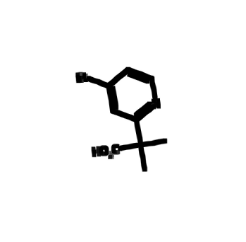 [CH2]Cc1ccnc(C(C)(C)C(=O)O)c1